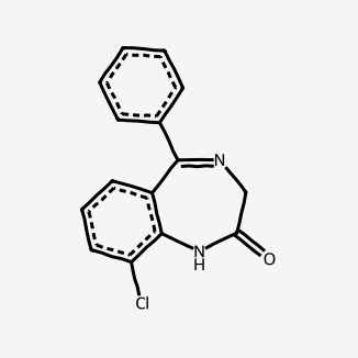 O=C1CN=C(c2ccccc2)c2cccc(Cl)c2N1